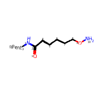 CCCCCNC(=O)CCCCCON